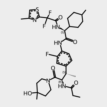 CCC(=O)N[C@@H](C(=O)N1CCC(C)(O)CC1)[C@@H](C)c1ccc(NC(=O)[C@@H](NC(=O)C(F)(F)c2nc(C)cs2)C2CCC(C)CC2)c(F)c1